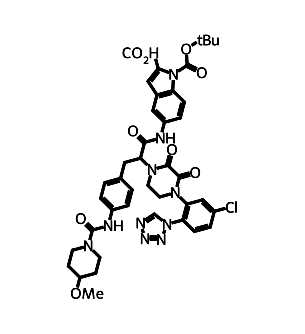 COC1CCN(C(=O)Nc2ccc(CC(C(=O)Nc3ccc4c(c3)cc(C(=O)O)n4C(=O)OC(C)(C)C)N3CCN(c4cc(Cl)ccc4-n4cnnn4)C(=O)C3=O)cc2)CC1